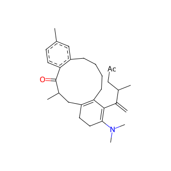 C=C(C1=C(N(C)C)CCC2=C1CCCCc1cc(C)ccc1C(=O)C(C)C2)C(C)CC(C)=O